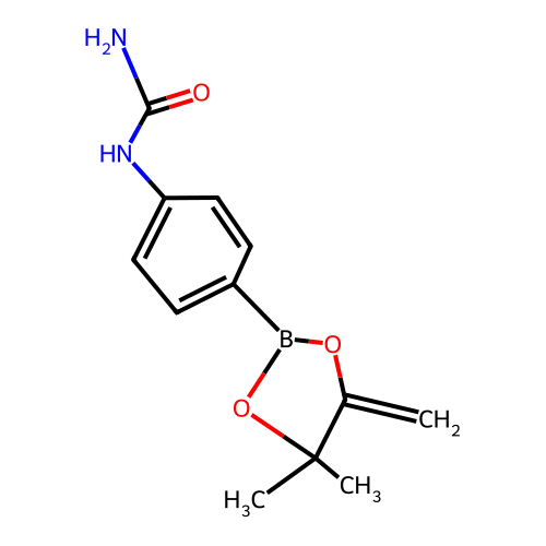 C=C1OB(c2ccc(NC(N)=O)cc2)OC1(C)C